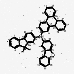 CC1(C)c2ccccc2-c2ccc(N(c3ccc4c(c3)C3C=CC=CC3c3ccccc3-4)c3ccc4oc5ccccc5c4c3)cc21